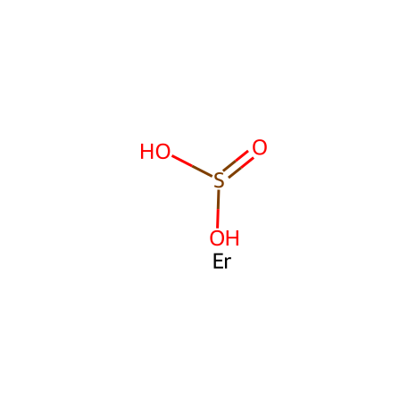 O=S(O)O.[Er]